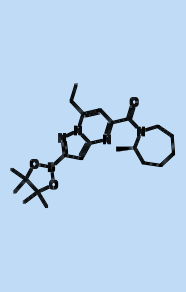 CCc1cc(C(=O)N2CCCCC[C@H]2C)nc2cc(B3OC(C)(C)C(C)(C)O3)nn12